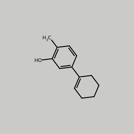 Cc1ccc(C2=CCCCC2)cc1O